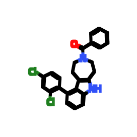 O=C(c1ccccc1)N1CCc2[nH]c3cccc(-c4ccc(Cl)cc4Cl)c3c2CC1